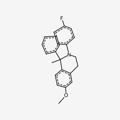 COc1ccc2c(c1)CCN(c1ccc(F)cc1)C2(C)c1cc[c]cc1